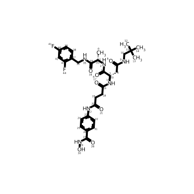 C[C@H](NC(=O)[C@H](CC(=O)NCC(C)(C)C)NC(=O)CCC(=O)Nc1ccc(C(=O)NO)cc1)C(=O)NCc1ccc(F)cc1F